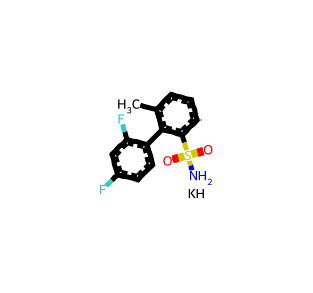 Cc1cc[c]c(S(N)(=O)=O)c1-c1ccc(F)cc1F.[KH]